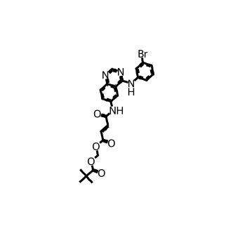 CC(C)(C)C(=O)OCOC(=O)C=CC(=O)Nc1ccc2ncnc(Nc3cccc(Br)c3)c2c1